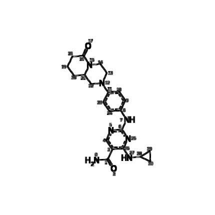 NC(=O)c1cnc(Nc2ccc(N3CCN4C(=O)CCCC4C3)cc2)nc1NC1CC1